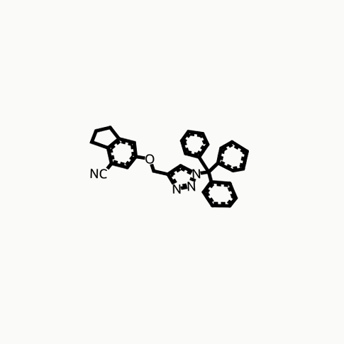 N#Cc1cc(OCc2cn(C(c3ccccc3)(c3ccccc3)c3ccccc3)nn2)cc2c1CCC2